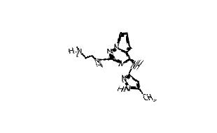 Cc1cc(Nc2nc(NCCN)nn3cccc23)n[nH]1